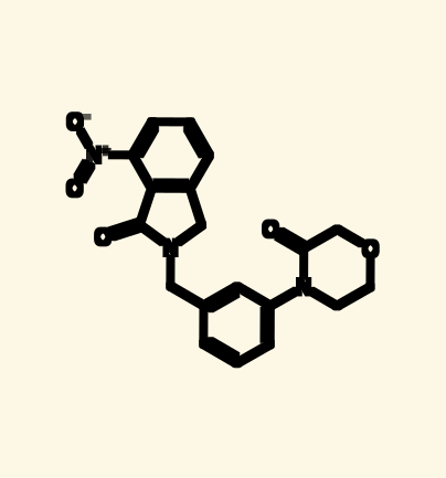 O=C1c2c(cccc2[N+](=O)[O-])CN1Cc1cccc(N2CCOCC2=O)c1